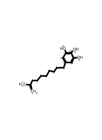 C=C(C)CCCCCCCCc1cc(O)c(O)c(O)c1